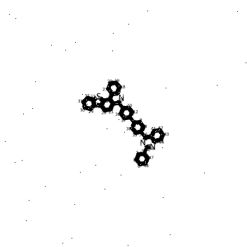 c1ccc(-c2nc(-c3ccc(-c4ccc(-c5nc6ccccc6c6c5ccc5c7ccccc7sc56)cc4)cc3)c3ccccc3n2)cc1